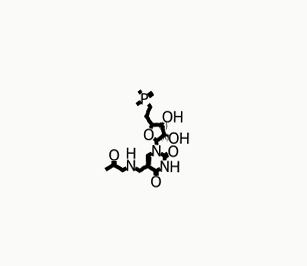 C=P(C)(C)CCC1OC(n2cc(CNCC(C)=O)c(=O)[nH]c2=O)[C@H](O)[C@@H]1O